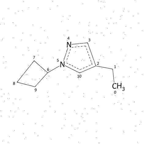 CCc1cnn(C2CCC2)c1